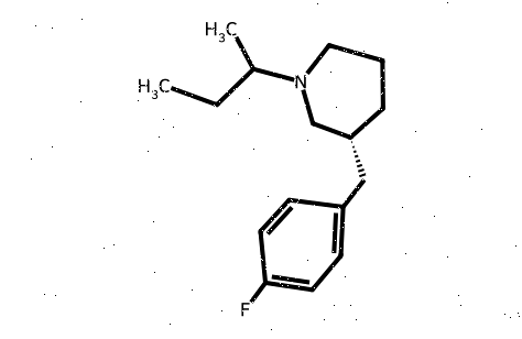 CCC(C)N1CCC[C@H](Cc2ccc(F)cc2)C1